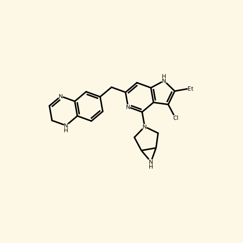 CCc1[nH]c2cc(Cc3ccc4c(c3)N=CCN4)nc(N3CC4NC4C3)c2c1Cl